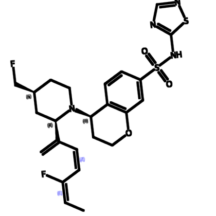 C=C(/C=C\C(F)=C/C)[C@H]1C[C@@H](CF)CCN1[C@@H]1CCOc2cc(S(=O)(=O)Nc3ncns3)ccc21